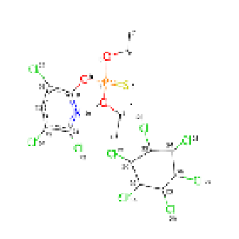 CCOP(=S)(OCC)Oc1nc(Cl)c(Cl)cc1Cl.ClC1C(Cl)C(Cl)C(Cl)C(Cl)C1Cl